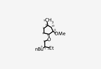 CCCCC(CC)CO[C@H]1CCC(C)CC1OC